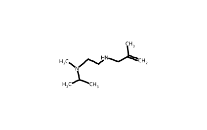 C=C(C)CNCCN(C)C(C)C